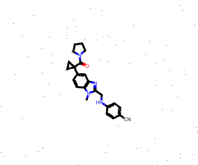 Cn1c(CNc2ccc(C#N)cc2)nc2cc(C3(C(=O)N4CCCC4)CC3)ccc21